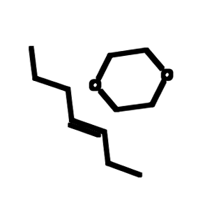 C1COCCO1.CCC=CCCC